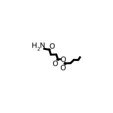 CCCCC(=O)OC(=O)CCC(=O)CN